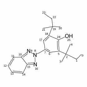 CCC(C)(C)c1cc(-n2nc3ccccc3n2)cc(C(C)(C)CC)c1O